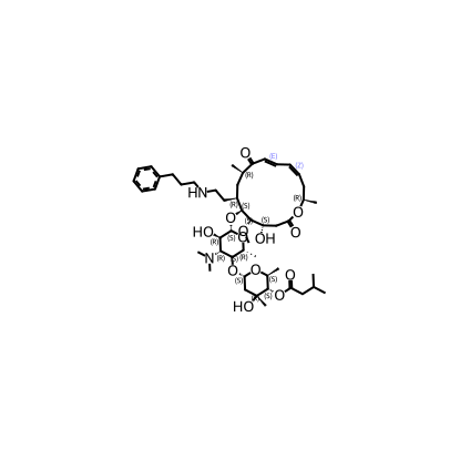 CO[C@@H]1[C@@H](O[C@@H]2O[C@H](C)[C@@H](O[C@H]3C[C@@](C)(O)[C@@H](OC(=O)CC(C)C)[C@H](C)O3)[C@H](N(C)C)[C@H]2O)[C@@H](CCNCCCc2ccccc2)C[C@@H](C)C(=O)/C=C/C=C\C[C@@H](C)OC(=O)C[C@@H]1O